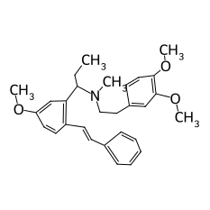 CCC(c1cc(OC)ccc1C=Cc1ccccc1)N(C)CCc1ccc(OC)c(OC)c1